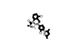 Cc1cc(C)n(-c2ccc(OCc3c(Cl)cccc3N(N)C(=O)N(C)N)cc2Cl)n1